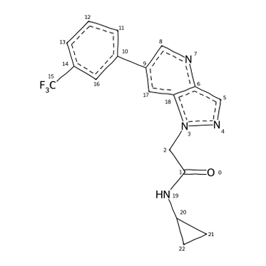 O=C(Cn1ncc2ncc(-c3cccc(C(F)(F)F)c3)cc21)NC1CC1